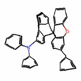 c1ccc(-c2ccc3c(c2)Oc2ccccc2C32c3ccccc3-c3cc(N(c4ccccc4)c4ccccc4)ccc32)cc1